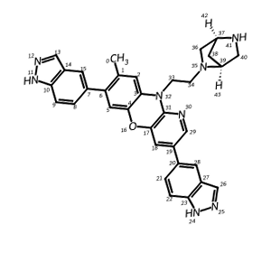 Cc1cc2c(cc1-c1ccc3[nH]ncc3c1)Oc1cc(-c3ccc4[nH]ncc4c3)cnc1N2CCN1C[C@@H]2C[C@H]1CN2